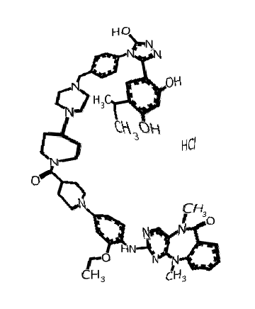 CCOc1cc(N2CCC(C(=O)N3CCC(N4CCN(Cc5ccc(-n6c(O)nnc6-c6cc(C(C)C)c(O)cc6O)cc5)CC4)CC3)CC2)ccc1Nc1ncc2c(n1)N(C)c1ccccc1C(=O)N2C.Cl